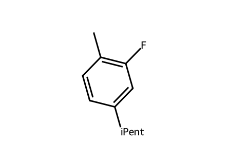 CCCC(C)c1ccc(C)c(F)c1